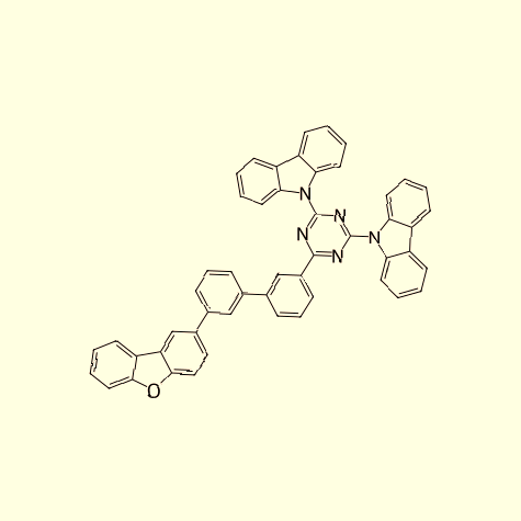 c1cc(-c2cccc(-c3nc(-n4c5ccccc5c5ccccc54)nc(-n4c5ccccc5c5ccccc54)n3)c2)cc(-c2ccc3oc4ccccc4c3c2)c1